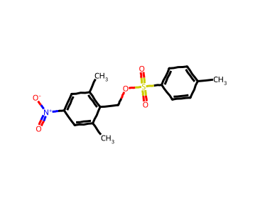 Cc1ccc(S(=O)(=O)OCc2c(C)cc([N+](=O)[O-])cc2C)cc1